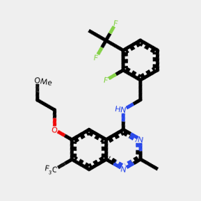 COCCOc1cc2c(NCc3cccc(C(C)(F)F)c3F)nc(C)nc2cc1C(F)(F)F